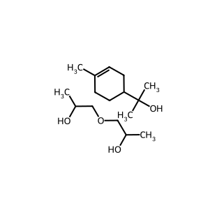 CC(O)COCC(C)O.CC1=CCC(C(C)(C)O)CC1